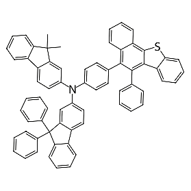 CC1(C)c2ccccc2-c2ccc(N(c3ccc(-c4c(-c5ccccc5)c5c6ccccc6sc5c5ccccc45)cc3)c3ccc4c(c3)C(c3ccccc3)(c3ccccc3)c3ccccc3-4)cc21